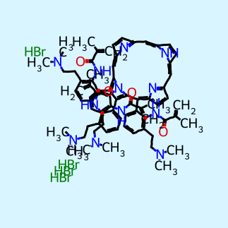 Br.Br.Br.Br.C=C(C)C(=O)Nc1c(CCN(C)C)cccc1-c1c(-c2cccc(CCN(C)C)c2NC(=O)C(=C)C)c2c(-c3cccc(CCN(C)C)c3NC(=O)C(=C)C)c3nc(cc4ccc(cc5nc(cc1n2-c1cccc(CCN(C)C)c1NC(=O)C(=C)C)C=C5)[nH]4)C=C3